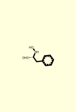 O=C[C@@H](Cc1ccccc1)NO